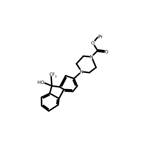 CC(C)OC(=O)N1CCN(c2ccc3c(c2)C(O)(C(F)(F)F)c2ccccc2-3)CC1